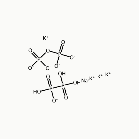 O=P([O-])(O)P(=O)(O)O.O=P([O-])([O-])OP(=O)([O-])[O-].[K+].[K+].[K+].[K+].[Na+]